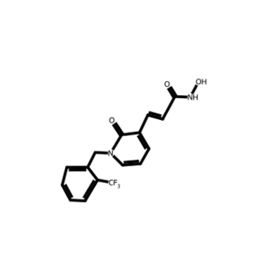 O=C(/C=C/c1cccn(Cc2ccccc2C(F)(F)F)c1=O)NO